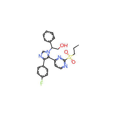 CCCS(=O)(=O)c1nccc(-c2c(-c3ccc(F)cc3)ncn2C(CO)c2ccccc2)n1